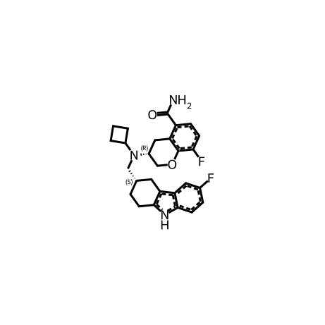 NC(=O)c1ccc(F)c2c1C[C@@H](N(C[C@H]1CCc3[nH]c4ccc(F)cc4c3C1)C1CCC1)CO2